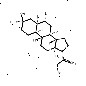 C=C(CBr)[C@H]1CC[C@H]2[C@@H]3C[C@@H](F)[C@@H]4C[C@](C)(O)CC[C@@H]4[C@H]3CC[C@]12C